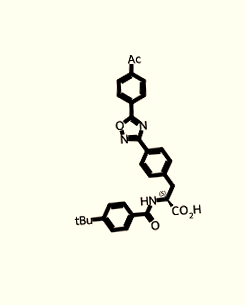 CC(=O)c1ccc(-c2nc(-c3ccc(C[C@H](NC(=O)c4ccc(C(C)(C)C)cc4)C(=O)O)cc3)no2)cc1